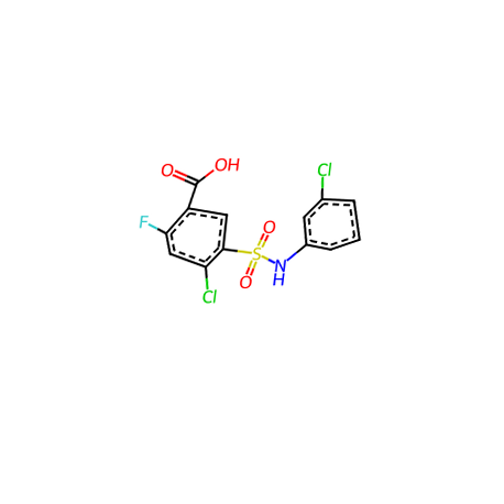 O=C(O)c1cc(S(=O)(=O)Nc2cccc(Cl)c2)c(Cl)cc1F